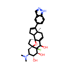 CN(C)[C@H]1C[C@@]23CC[C@@]4(O2)C(=CC[C@]2(C)C(c5ccc6[nH]ncc6c5)=CCC24)C(O)C3(F)[C@@H](O)[C@@H]1O